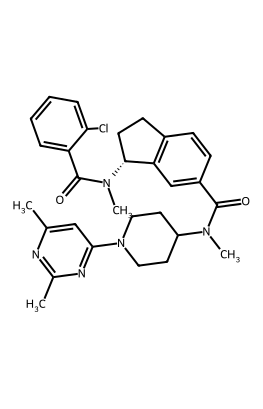 Cc1cc(N2CCC(N(C)C(=O)c3ccc4c(c3)[C@H](N(C)C(=O)c3ccccc3Cl)CC4)CC2)nc(C)n1